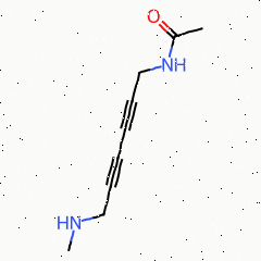 CNCC#CC#CCNC(C)=O